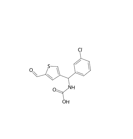 O=Cc1cc(C(NC(=O)O)c2cccc(Cl)c2)cs1